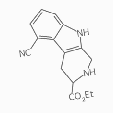 CCOC(=O)C1Cc2c([nH]c3cccc(C#N)c23)CN1